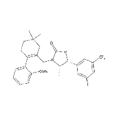 COc1ccccc1C1=C(CN2C(=O)O[C@H](c3cc(C)cc(C(F)(F)F)c3)[C@@H]2C)CC(C)(C)CC1